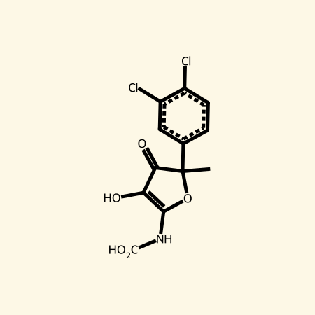 CC1(c2ccc(Cl)c(Cl)c2)OC(NC(=O)O)=C(O)C1=O